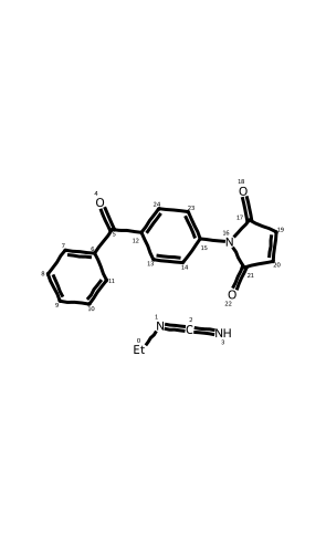 CCN=C=N.O=C(c1ccccc1)c1ccc(N2C(=O)C=CC2=O)cc1